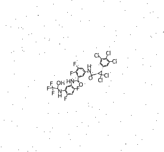 O=C(Nc1cc(NC(O)C(F)(F)F)c(F)cc1F)c1cc(NC(=O)[C@H]2[C@H](c3cc(Cl)c(Cl)c(Cl)c3)C2(Cl)Cl)cc(F)c1F